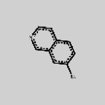 CCc1ccc2ccncc2c1